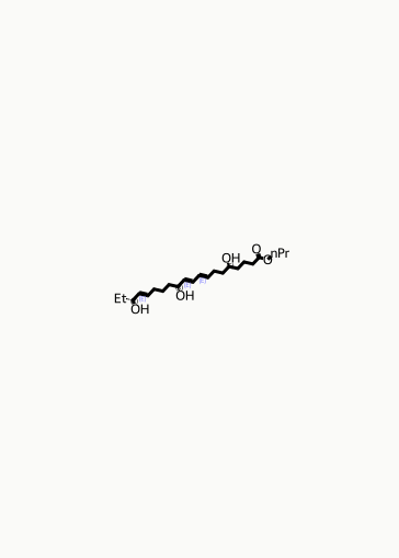 CCCOC(=O)CCC[C@H](O)CC/C=C/C=C/[C@H](O)CCC/C=C/[C@H](O)CC